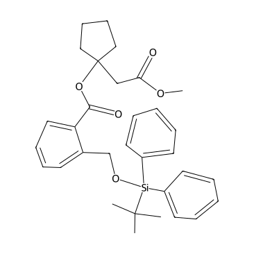 COC(=O)CC1(OC(=O)c2ccccc2CO[Si](c2ccccc2)(c2ccccc2)C(C)(C)C)CCCC1